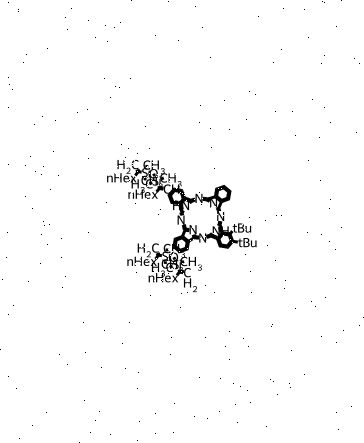 C=C(CCCCCC)[Si](C)(C)O[Si](C)(C)C(=C)CCCCCC.C=C(CCCCCC)[Si](C)(C)O[Si](C)(C)C(=C)CCCCCC.CC(C)(C)c1ccc2c3nc4nc(nc5[nH]c(nc6nc(nc([nH]3)c2c1C(C)(C)C)-c1ccccc1-6)c1ccccc51)-c1ccccc1-4